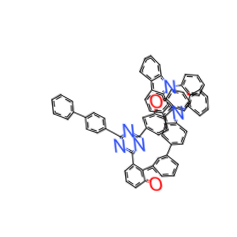 c1ccc(-c2ccc(-c3nc(-c4ccc5c(c4)oc4ccccc45)nc(-c4cccc5oc6ccc(-c7ccc8c(c7)c7ccc9c%10ccccc%10n(-c%10ccccc%10)c9c7n8-c7ccccc7)cc6c45)n3)cc2)cc1